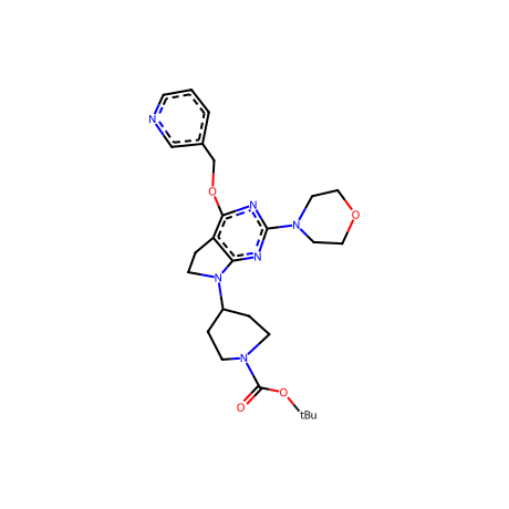 CC(C)(C)OC(=O)N1CCC(N2CCc3c(OCc4cccnc4)nc(N4CCOCC4)nc32)CC1